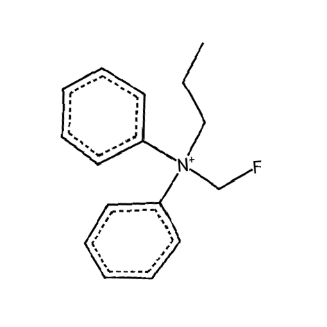 CCC[N+](CF)(c1ccccc1)c1ccccc1